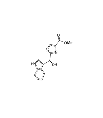 COC(=O)c1csc([C@@H](O)c2c[nH]c3ccccc23)n1